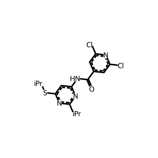 CC(C)Sc1cc(NC(=O)c2cc(Cl)nc(Cl)c2)nc(C(C)C)n1